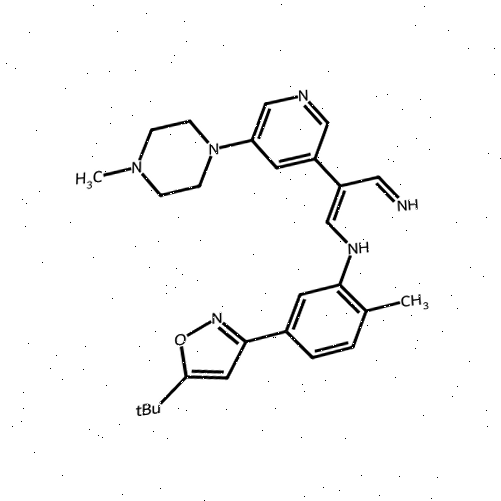 Cc1ccc(-c2cc(C(C)(C)C)on2)cc1N/C=C(\C=N)c1cncc(N2CCN(C)CC2)c1